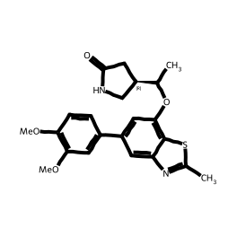 COc1ccc(-c2cc(OC(C)[C@H]3CNC(=O)C3)c3sc(C)nc3c2)cc1OC